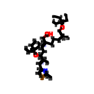 CC[Si](CC)(CC)OC[C@@H](C)CCC/C(=C\C[C@H](O[Si](CC)(CC)CC)/C(C)=C/c1csc(C)n1)CO